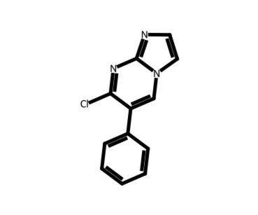 Clc1nc2nccn2cc1-c1ccccc1